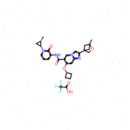 C[C@@H]1C[C@@H]1n1cccc(NC(=O)c2cn3cc(C45COC(C)(C4)C5)nc3cc2OC2CCC2)c1=O.O=C(O)C(F)(F)F